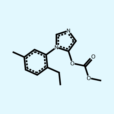 CCc1ccc(C)cc1-n1cncc1OC(=O)OC